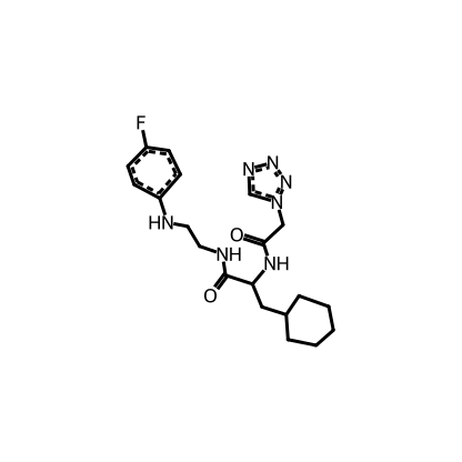 O=C(Cn1cnnn1)NC(CC1CCCCC1)C(=O)NCCNc1ccc(F)cc1